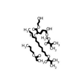 C=C(C)C(=O)OC.C=C(C)C(=O)OCCCCCCCCCCCC.C=C(C=CC(=O)O)C(=O)OCCO.C=CC(=O)OCCCC